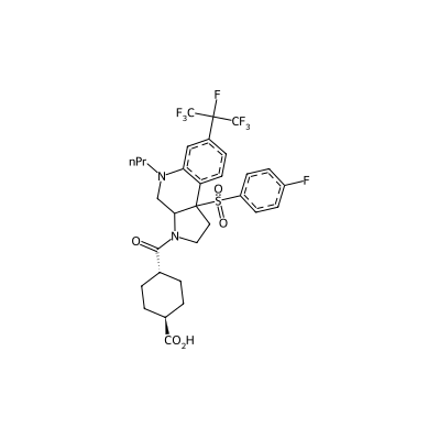 CCCN1CC2N(C(=O)[C@H]3CC[C@H](C(=O)O)CC3)CCC2(S(=O)(=O)c2ccc(F)cc2)c2ccc(C(F)(C(F)(F)F)C(F)(F)F)cc21